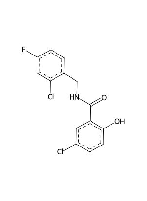 O=C(NCc1ccc(F)cc1Cl)c1cc(Cl)ccc1O